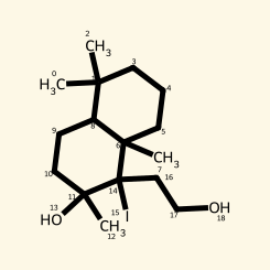 CC1(C)CCCC2(C)C1CCC(C)(O)C2(I)CCO